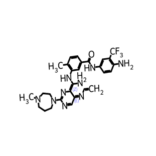 C=C/N=C1/C=NC(N2CCCN(C)CC2)=N/C1=C(/N)Nc1cc(C(=O)Nc2ccc(N)c(C(F)(F)F)c2)ccc1C